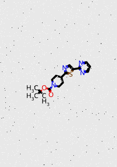 CC(C)(C)OC(=O)N1CCC(c2ncc(-c3ncccn3)s2)CC1